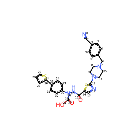 N#Cc1ccc(CN2CCN(c3ncc(C(=O)NN(C(=O)O)c4ccc(-c5cccs5)cc4)s3)CC2)cc1